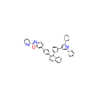 c1ccc(-c2cc(-c3cccc(-c4c(-c5ccc(-c6ccc7nc(-c8ccccn8)oc7c6)cc5)ccc5ccccc45)c3)cc(-c3ccccc3)n2)cc1